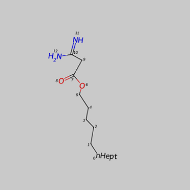 CCCCCCCCCCCCOC(=O)CC(=N)N